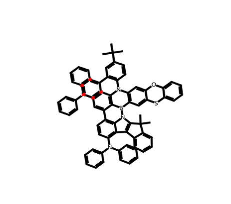 CC(C)(C)c1ccc(N2c3cc4c(cc3B3c5c(cc(N(c6ccccc6)c6ccccc6)cc52)-c2ccc(N(c5ccccc5)c5ccccc5)c5c6c(n3c25)C(C)(C)c2ccccc2-6)Sc2ccccc2O4)c(-c2ccccc2)c1